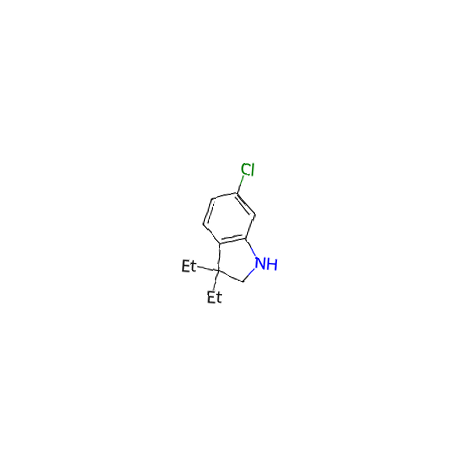 CCC1(CC)CNc2cc(Cl)ccc21